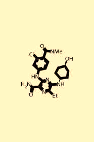 CCc1nc(C(N)=O)c(Nc2ccc(C(=O)NC)c(Cl)c2)nc1N[C@H]1CC[C@H](O)CC1